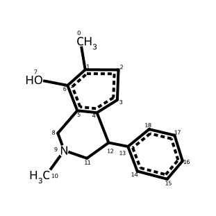 Cc1ccc2c(c1O)CN(C)CC2c1ccccc1